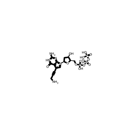 NCC#Cc1cn([C@H]2C[C@@H](O)[C@@H](COP(=O)(O)OP(=O)(O)OP(=O)(O)O)O2)c2nc(N)[nH]c(=O)c12